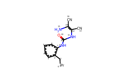 CC(C)Cc1ccccc1NC(=O)NC(C#N)=C(N)C#N